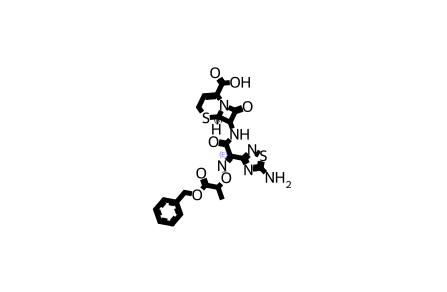 CC(O/N=C(/C(=O)NC1C(=O)N2C(C(=O)O)=CCS[C@H]12)c1nsc(N)n1)C(=O)OCc1ccccc1